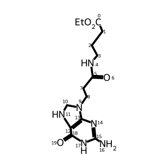 CCOC(=O)CCCNC(=O)CCN1CNc2c1nc(N)[nH]c2=O